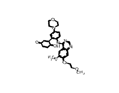 COCCOc1cc2ncnc(Nc3ccc(N4CCOCC4)cc3C3=CC(=O)C=CC3=O)c2cc1OC